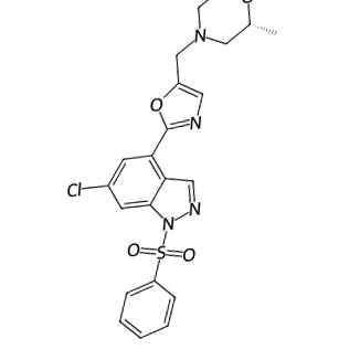 C[C@@H]1CN(Cc2cnc(-c3cc(Cl)cc4c3cnn4S(=O)(=O)c3ccccc3)o2)CCO1